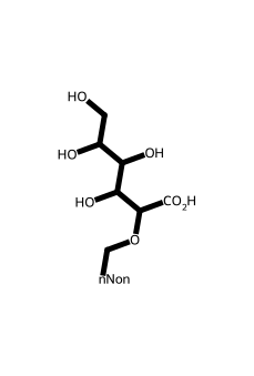 CCCCCCCCCCOC(C(=O)O)C(O)C(O)C(O)CO